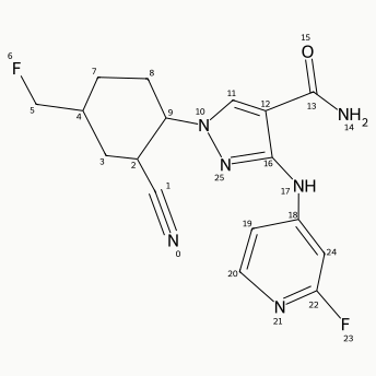 N#CC1CC(CF)CCC1n1cc(C(N)=O)c(Nc2ccnc(F)c2)n1